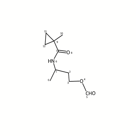 CC(CCOC=O)NC(=O)C1(C)CC1